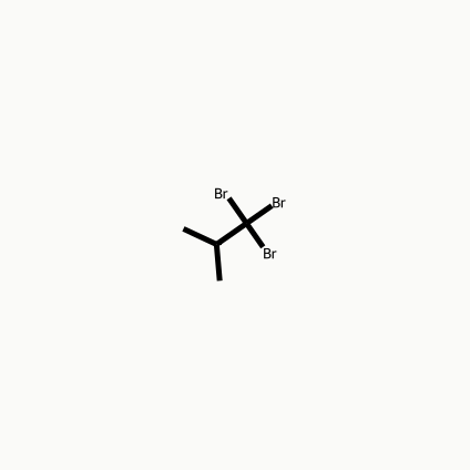 C[C](C)C(Br)(Br)Br